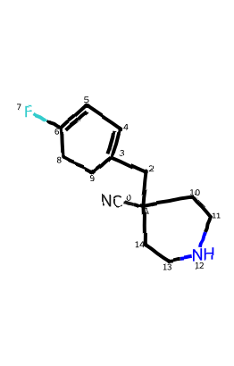 N#CC1(CC2=CC=C(F)CC2)CCNCC1